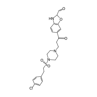 O=CC1Nc2ccc(C(=O)CCN3CCN(S(=O)(=O)CCc4ccc(Cl)cc4)CC3)cc2O1